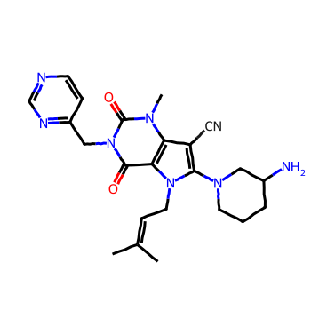 CC(C)=CCn1c(N2CCCC(N)C2)c(C#N)c2c1c(=O)n(Cc1ccncn1)c(=O)n2C